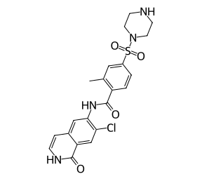 Cc1cc(S(=O)(=O)N2CCNCC2)ccc1C(=O)Nc1cc2cc[nH]c(=O)c2cc1Cl